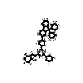 c1ccc(-c2nc(-c3ccc(-c4ccc5c(c4)C(c4ccccc4)(c4ccccc4)c4ccccc4-5)cc3)nc(-c3cc4ccccc4s3)n2)cc1